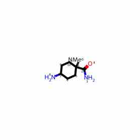 CNC1(C(N)=O)CCC(N)CC1